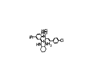 CC(C)c1ccc2nc(C=Cc3ccc(Cl)cc3)nc(NC3CCCCC3N)c2c1.Cl.Cl